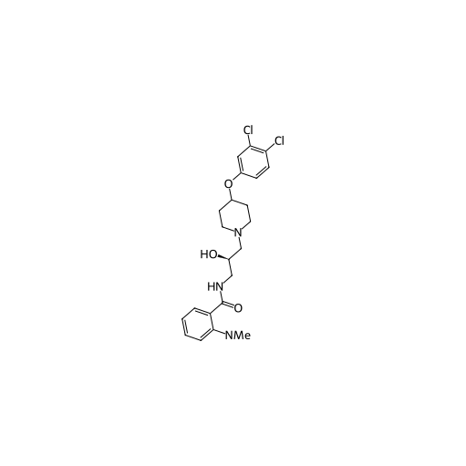 CNc1ccccc1C(=O)NC[C@@H](O)CN1CCC(Oc2ccc(Cl)c(Cl)c2)CC1